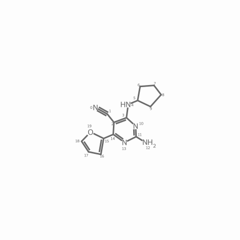 N#Cc1c(NC2CCCC2)nc(N)nc1-c1ccco1